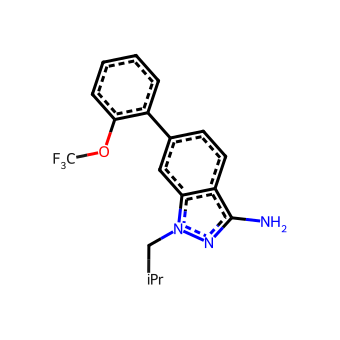 CC(C)Cn1nc(N)c2ccc(-c3ccccc3OC(F)(F)F)cc21